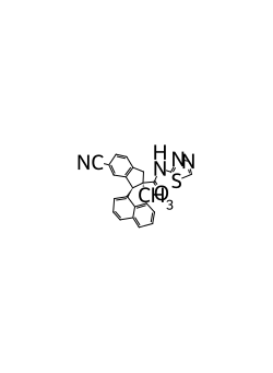 C[C@@]1(C(=O)Nc2nncs2)Cc2ccc(C#N)cc2[C@@H]1c1cccc2ccccc12